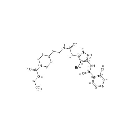 O=C(NCCC1CCN(C(=O)OCC(Cl)(Cl)Cl)CC1)Oc1n[nH]c(NC(=O)c2ccccc2Cl)c1Br